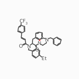 CCc1ccc(CN(C(=O)C=Cc2ccc(C(F)(F)F)cc2)C(Cc2ccccc2)C(=O)N2CCN(Cc3ccccc3)CC2)cc1